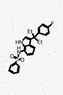 CCC(CC)(c1ccc(F)cc1)c1c[nH]c2c(NS(=O)(=O)c3ccccc3)cccc12